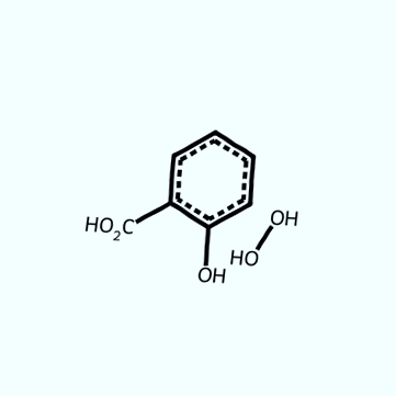 O=C(O)c1ccccc1O.OO